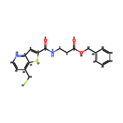 O=C(CCNC(=O)c1cc2nccc(CF)c2s1)OCc1ccccc1